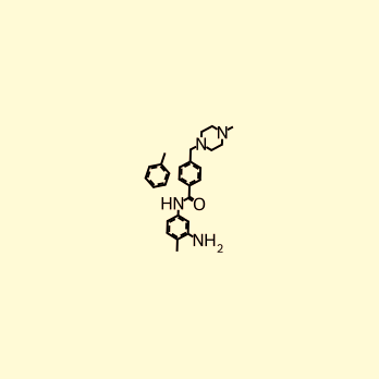 Cc1ccc(NC(=O)c2ccc(CN3CCN(C)CC3)cc2)cc1N.Cc1ccccc1